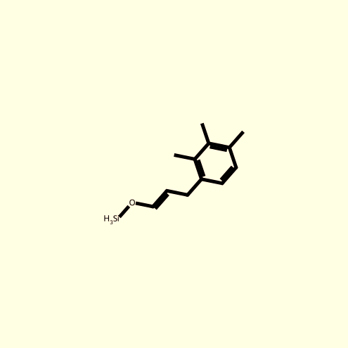 Cc1ccc(CC=CO[SiH3])c(C)c1C